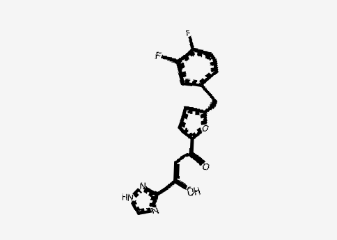 O=C(C=C(O)c1nc[nH]n1)c1ccc(Cc2ccc(F)c(F)c2)o1